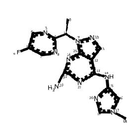 C[C@H](c1ncc(F)cn1)n1ncc2c(Nc3cn(C)cn3)nc(N)nc21